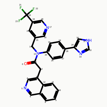 O=C(Cc1cncc2ccccc12)N(Cc1cncc(C(F)(F)F)c1)c1ccc(-c2c[nH]cn2)cc1